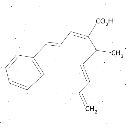 C=CC=CC(C)C(=CC=Cc1ccccc1)C(=O)O